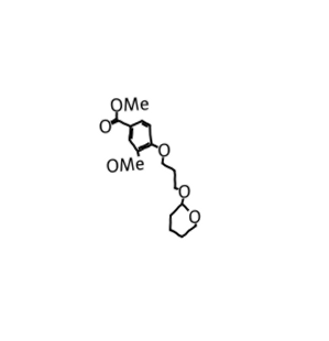 COC(=O)c1ccc(OCCCOC2CCCCO2)c(OC)c1